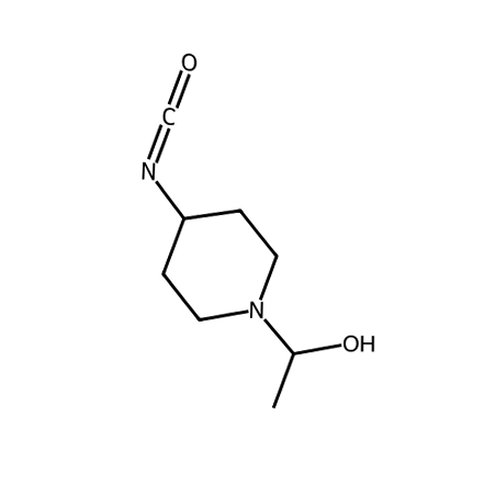 CC(O)N1CCC(N=C=O)CC1